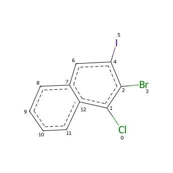 Clc1c(Br)c(I)cc2ccccc12